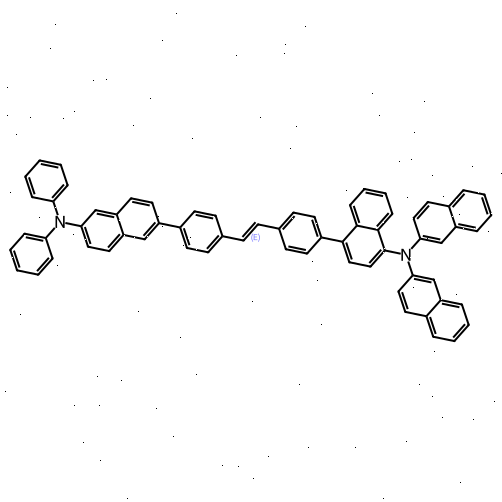 C(=C\c1ccc(-c2ccc(N(c3ccc4ccccc4c3)c3ccc4ccccc4c3)c3ccccc23)cc1)/c1ccc(-c2ccc3cc(N(c4ccccc4)c4ccccc4)ccc3c2)cc1